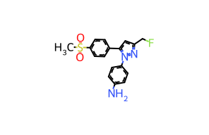 CS(=O)(=O)c1ccc(-c2cc(CF)nn2-c2ccc(N)cc2)cc1